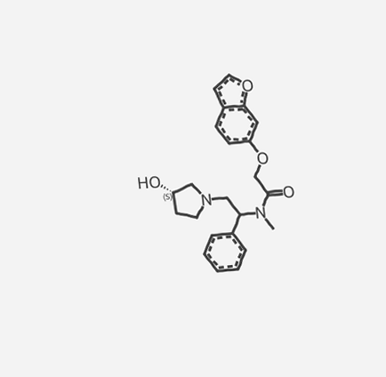 CN(C(=O)COc1ccc2ccoc2c1)C(CN1CC[C@H](O)C1)c1ccccc1